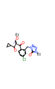 CCO/C=C(\C(=O)c1ccc(Cl)cc1Cn1nnn(CC)c1=O)C(=O)C1CC1